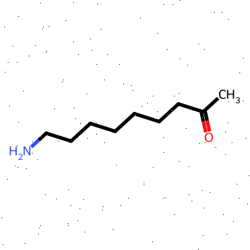 CC(=O)CCCCCCCN